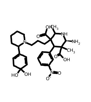 CC1N[C@@H](N)C(C)(C(=O)O)C(c2cccc([N+](=O)[O-])c2)C1(CCCN1CCCCC1C1=CCC(O)(O)C=C1)C(=O)O